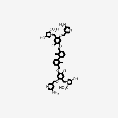 Cc1c(COc2cc(OCc3cncc(N)c3)c(CN3C[C@@H](O)C[C@H]3C(=O)O)cc2Cl)cccc1-c1cccc(COc2cc(OCc3cncc(N)c3)c(CN3C[C@@H](O)C[C@H]3C(=O)O)cc2Cl)c1C